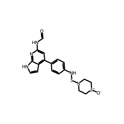 O=CNc1cc(-c2ccc(NSN3CC[S+]([O-])CC3)cc2)c2cc[nH]c2n1